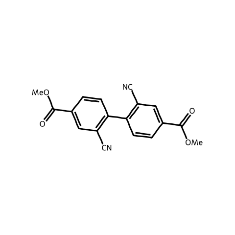 COC(=O)c1ccc(-c2ccc(C(=O)OC)cc2C#N)c(C#N)c1